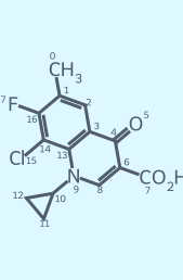 Cc1cc2c(=O)c(C(=O)O)cn(C3CC3)c2c(Cl)c1F